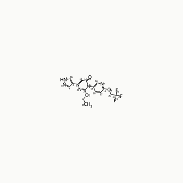 CCOc1nc(-c2cn[nH]c2)cc(=O)n1-c1ccc(OCC(F)(F)F)nc1